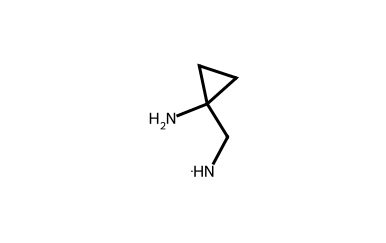 [NH]CC1(N)CC1